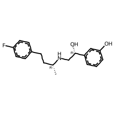 C[C@H](CCc1ccc(F)cc1)NC[C@H](O)c1cccc(O)c1